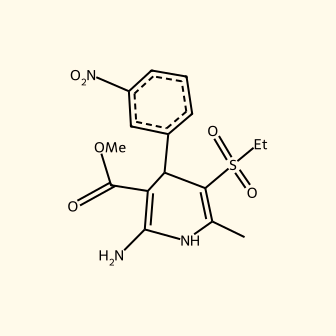 CCS(=O)(=O)C1=C(C)NC(N)=C(C(=O)OC)C1c1cccc([N+](=O)[O-])c1